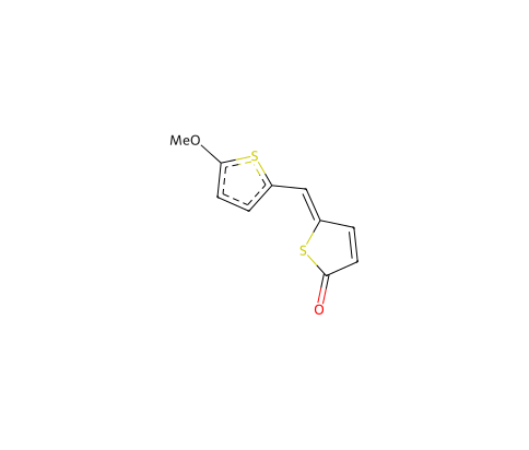 COc1ccc(C=C2C=CC(=O)S2)s1